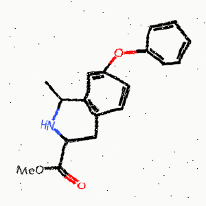 COC(=O)C1Cc2ccc(Oc3ccccc3)cc2C(C)N1